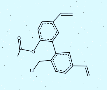 C=Cc1ccc(CCl)c(-c2cc(C=C)ccc2OC(C)=O)c1